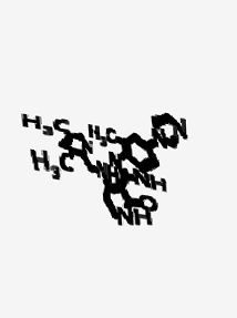 Cc1cnc(CNc2cc[nH]c(=O)c2-c2nc3c(C)cc(-n4ccnc4)cc3[nH]2)c(C)c1